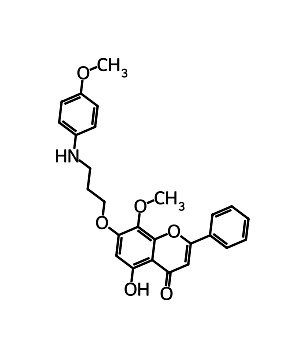 COc1ccc(NCCCOc2cc(O)c3c(=O)cc(-c4ccccc4)oc3c2OC)cc1